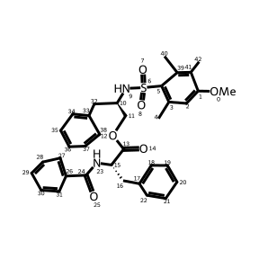 COc1cc(C)c(S(=O)(=O)N[C@@H](COC(=O)[C@H](Cc2ccccc2)NC(=O)c2ccccc2)Cc2ccccc2)c(C)c1C